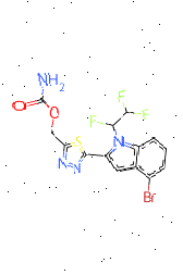 NC(=O)OCc1nnc(-c2cc3c(Br)cccc3n2C(F)C(F)F)s1